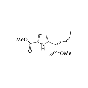 C=C(OC)/C(=C\C=C/C)c1ccc(C(=O)OC)[nH]1